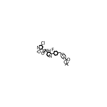 COc1ncc(Cl)cc1[S+]([O-])Nc1ccnc(-c2ccc(CN3CCN(C(=O)OC(C)(C)C)CC3)cc2F)c1